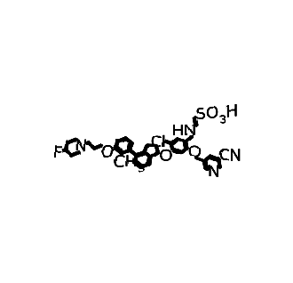 Cc1c(OCCCN2CCC(F)CC2)cccc1-c1cccc2c1CC[C@@H]2Oc1cc(OCc2cncc(C#N)c2)c(CNCCS(=O)(=O)O)cc1Cl